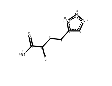 O=C(O)C(F)CCc1cnn[nH]1